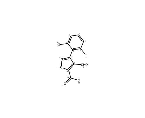 O=Cc1c(-c2c(Cl)cccc2Cl)noc1C(=O)Cl